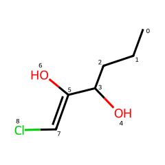 CCCC(O)C(O)=CCl